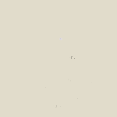 CC(=O)NC(C(=O)NC(C(=O)NC(/C=C/Cc1ccccc1)Cc1ccccc1)C(C)C)C(C)C